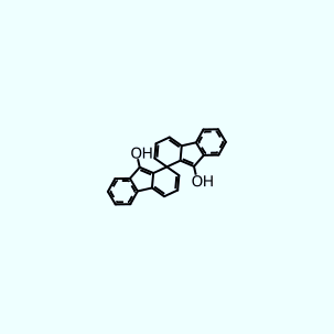 OC1=C2C(=CC=CC23C=CC=C2C3=C(O)c3ccccc32)c2ccccc21